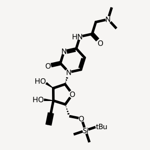 C#C[C@@]1(O)[C@@H](CO[Si](C)(C)C(C)(C)C)O[C@@H](n2ccc(NC(=O)CN(C)C)nc2=O)[C@@H]1O